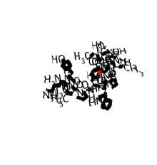 CC(C)C[C@H](NC(=O)[C@H](CO)NC(=O)[C@H](CO)NC(=O)[C@H](CC(C)C)NC(=O)[C@@H](NC(=O)[C@@H]1CCCN1C(=O)[C@H](Cc1c[nH]c2ccccc12)NC(=O)[C@H](Cc1ccc(O)cc1)NC(=O)[C@@H]1CCCN1C(=O)[C@H](CC(C)C)NC(=O)[C@H](Cc1ccc(O)cc1)NC(=O)[C@@H](N)CCCCN)C(C)C)C(=O)O